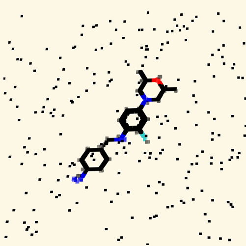 CC1CN(c2ccc(NC[C@H]3CC[C@H](N)CC3)c(F)c2)CC(C)O1